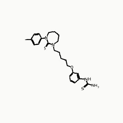 Cc1ccc(N2CCCCN(CCCCCOc3cccc(NC(N)=S)c3)C2=S)cc1